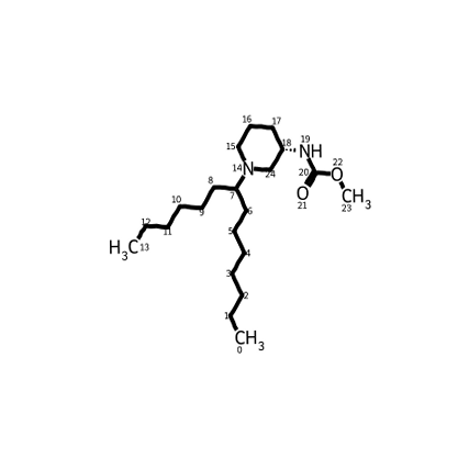 CCCCCCCC(CCCCCC)N1CCC[C@H](NC(=O)OC)C1